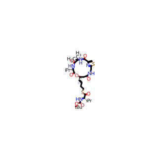 CC(C)[C@@H]1NC(=O)C(C)(C)NC(=O)c2csc(n2)CNC(=O)C[C@@H](/C=C/CCSC(=O)[C@@H](NC(=O)OC(C)(C)C)C(C)C)OC1=O